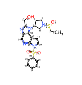 CC[S+]([O-])N1CCC(n2c(CO)nc3cnc4c(ccn4S(=O)(=O)c4ccccc4)c32)C1